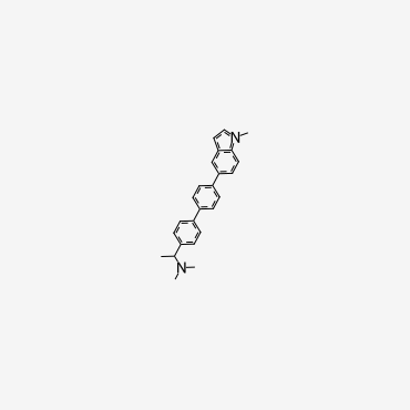 CC(c1ccc(-c2ccc(-c3ccc4c(ccn4C)c3)cc2)cc1)N(C)C